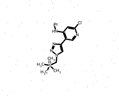 CC(C)Nc1cc(Cl)ncc1-c1cn(C[SH](C)(C)(C)C)nn1